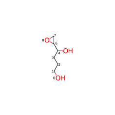 OCCCC(O)C1CO1